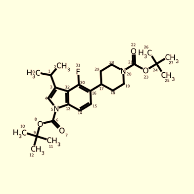 CC(C)c1cn(C(=O)OC(C)(C)C)c2ccc(C3CCN(C(=O)OC(C)(C)C)CC3)c(F)c12